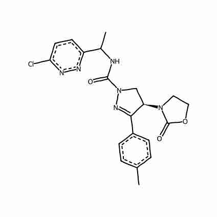 Cc1ccc(C2=NN(C(=O)NC(C)c3ccc(Cl)nn3)C[C@H]2N2CCOC2=O)cc1